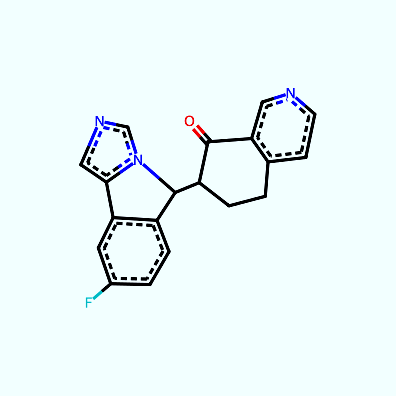 O=C1c2cnccc2CCC1C1c2ccc(F)cc2-c2cncn21